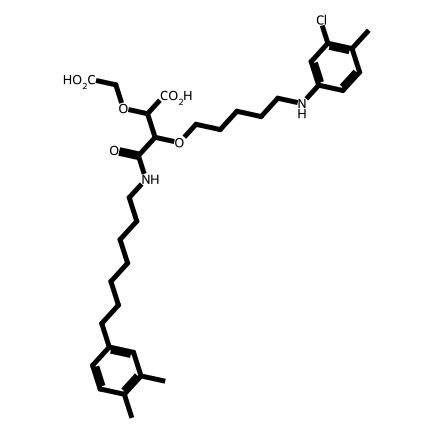 Cc1ccc(CCCCCCCNC(=O)C(OCCCCCNc2ccc(C)c(Cl)c2)C(OCC(=O)O)C(=O)O)cc1C